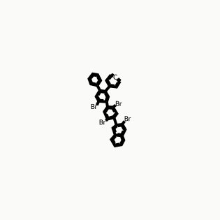 Brc1cc(-c2cc3ccccc3cc2Br)c(Br)cc1-c1cc(-c2ccccc2)c(-c2ccccc2)cc1Br